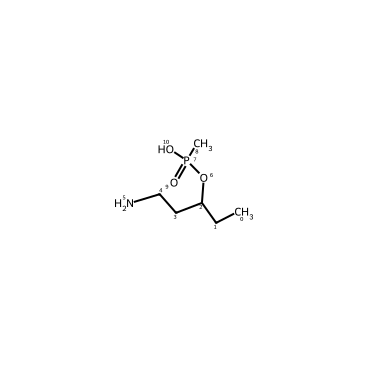 CCC(CCN)OP(C)(=O)O